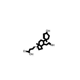 CCC(O)CCC[C@H]1CCC2C(CC=N)C(C3(C)C=CC(O)CC3)CCC21C